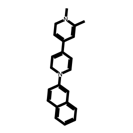 CC1=CC(C2=CCN(c3ccc4ccccc4c3)C=C2)=CCN1C